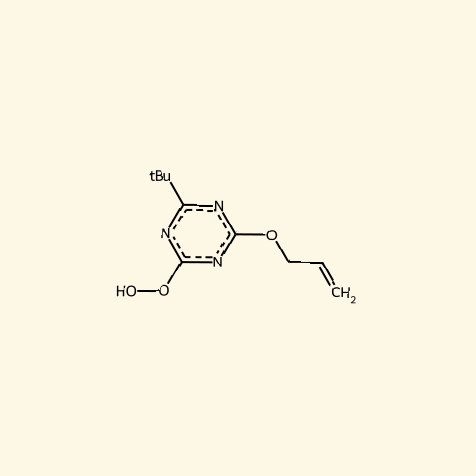 C=CCOc1nc(OO)nc(C(C)(C)C)n1